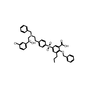 CCCc1cc(S(=O)(=O)c2ccc(CCN(Cc3ccccc3)C[C@@H](O)c3cccc(Cl)c3)cc2)cc(C(=O)O)c1OCc1ccccc1